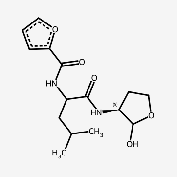 CC(C)CC(NC(=O)c1ccco1)C(=O)N[C@H]1CCOC1O